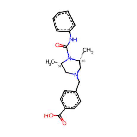 C[C@@H]1CN(Cc2ccc(C(=O)O)cc2)C[C@H](C)N1C(=O)Nc1ccccc1